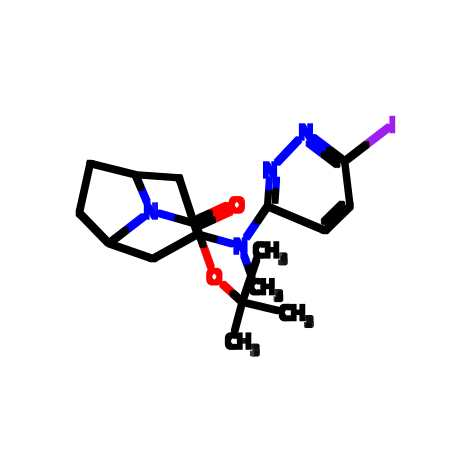 CN(c1ccc(I)nn1)C1CC2CCC(C1)N2C(=O)OC(C)(C)C